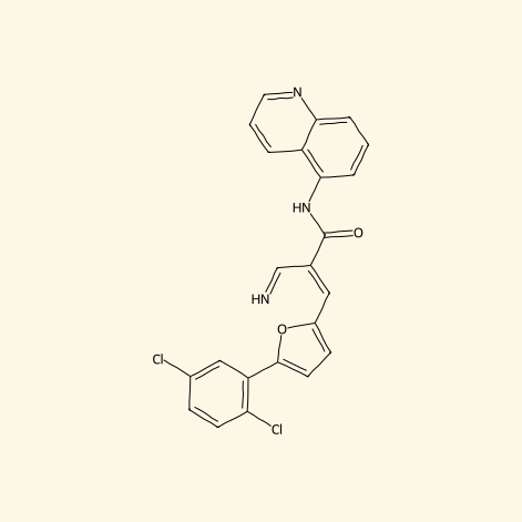 N=C/C(=C\c1ccc(-c2cc(Cl)ccc2Cl)o1)C(=O)Nc1cccc2ncccc12